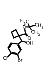 CC(C)(C)OC(=O)C1(C(O)c2ccc(Cl)c(Br)c2)CCC1